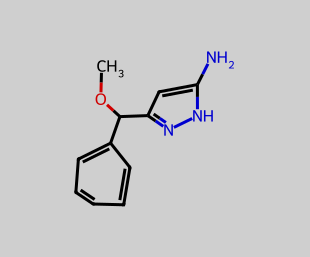 COC(c1ccccc1)c1cc(N)[nH]n1